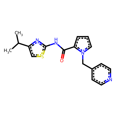 CC(C)c1csc(NC(=O)c2cccn2Cc2ccncc2)n1